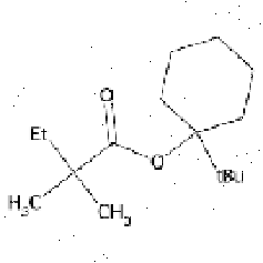 CCC(C)(C)C(=O)OC1(C(C)(C)C)CCCCC1